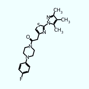 Cc1nn(-c2nc(CC(=O)N3CCN(c4ccc(F)cc4)CC3)cs2)c(C)c1C